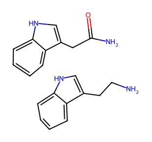 NC(=O)Cc1c[nH]c2ccccc12.NCCc1c[nH]c2ccccc12